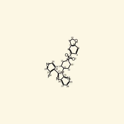 O=S(=O)(c1ccc2c(c1)CCO2)N1CCC(n2c(-c3ccncc3F)nc3cccnc32)CC1